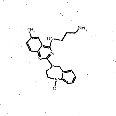 Cc1ccc2nc(N3CC[S+]([O-])c4ccccc4C3)nc(NCCCN)c2c1